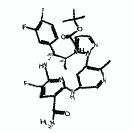 Cc1ncc(Nc2nc(N[C@H](c3ccc(F)c(F)c3)[C@H](C)NC(=O)OC(C)(C)C)c(F)cc2C(N)=O)cc1-n1nccn1